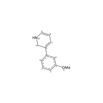 COc1cccc(C2=CC=[C]NC2)c1